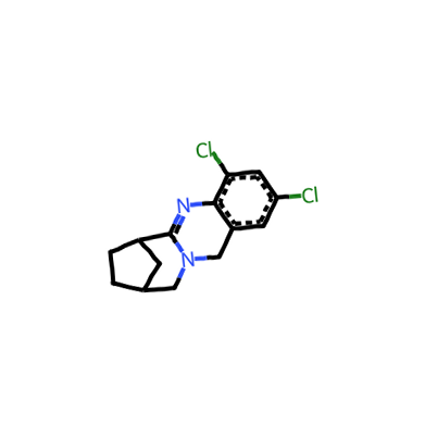 Clc1cc(Cl)c2c(c1)CN1CC3CCC(C3)C1=N2